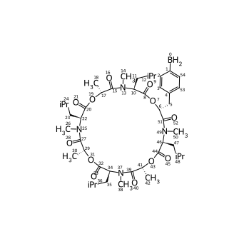 Bc1ccc(C[C@H]2OC(=O)[C@H](CC(C)C)N(C)C(=O)[C@@H](C)OC(=O)[C@H](CC(C)C)N(C)C(=O)[C@@H](C)OC(=O)[C@H](CC(C)C)N(C)C(=O)[C@@H](C)OC(=O)[C@H](CC(C)C)N(C)C2=O)cc1